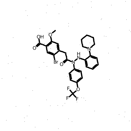 COc1cc(CC(=O)N(Nc2ccccc2N2CCCCC2)c2ccc(OC(F)(F)F)cc2)c(Br)cc1C(=O)O